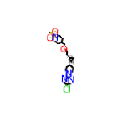 CS(=O)(=O)N1CCC(COCC[C@@H]2C[C@@H]2C2CCN(c3ncc(Cl)cn3)CC2)CC1